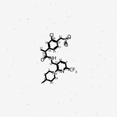 CC1CCN(c2nc(C(F)(F)F)ccc2CNC(=O)C(C)c2ccc(C[SH](=O)=O)c(Cl)c2)CC1